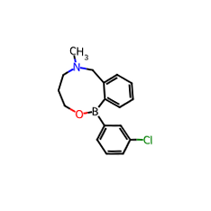 CN1CCCOB(c2cccc(Cl)c2)c2ccccc2C1